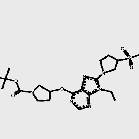 CCn1c(N2CCC(S(C)(=O)=O)C2)nc2c(OC3CCN(C(=O)OC(C)(C)C)C3)ncnc21